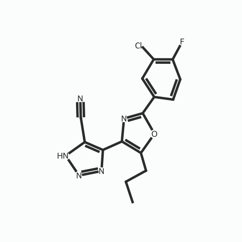 CCCc1oc(-c2ccc(F)c(Cl)c2)nc1-c1nn[nH]c1C#N